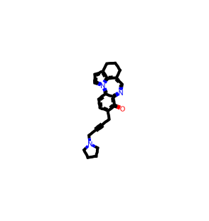 O=c1c(CC#CCN2CCCC2)ccc2n3ccc4c3c(cnc1-2)CCC4